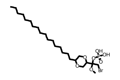 CCCCCCCCCCCCCCCCCC1COC(C(CBr)(OC)OP(=O)(O)O)CO1